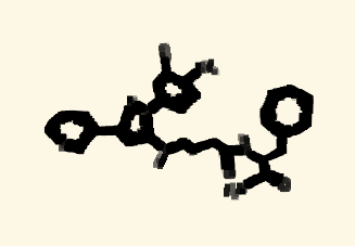 NC(=O)[C@H](Cc1ccccc1)NC(=O)CCCNc1cc(-c2cccnc2)nn1-c1ccc(N)c(Cl)c1